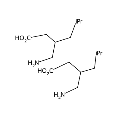 CC(C)CC(CN)CC(=O)O.CC(C)CC(CN)CC(=O)O